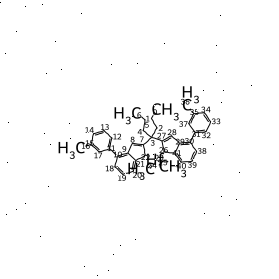 CCCC1(CCC)C2=Cc3c(-c4cccc(C)c4)cccc3[CH]2[Hf]([CH3])([CH3])[CH]2C1=Cc1c(-c3cccc(C)c3)cccc12